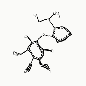 CCC(C)c1ccccc1Oc1c(Cl)c(Cl)c(C#N)c(C#N)c1Cl